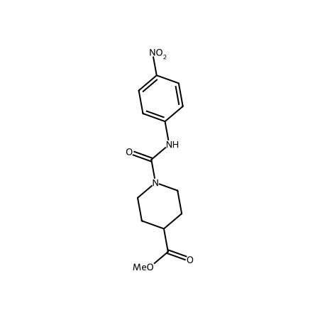 COC(=O)C1CCN(C(=O)Nc2ccc([N+](=O)[O-])cc2)CC1